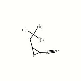 CC(C)(C)CC1CC1C#N